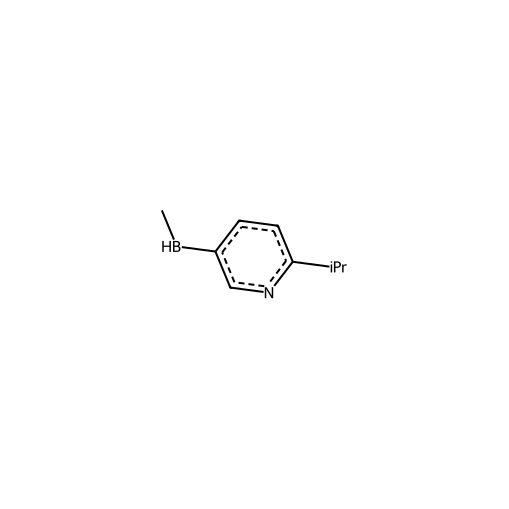 CBc1ccc(C(C)C)nc1